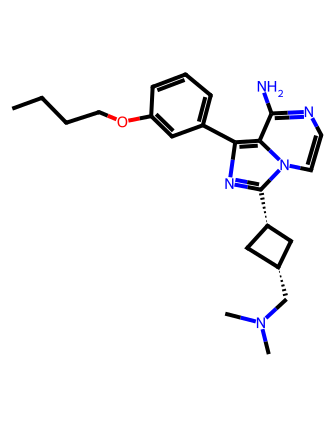 CCCCOc1cccc(-c2nc([C@H]3C[C@@H](CN(C)C)C3)n3ccnc(N)c23)c1